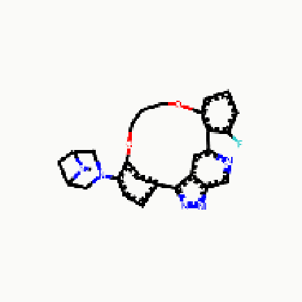 CN1C2CC1CN(c1ccc3cc1OCCCOc1cccc(F)c1-c1cc4c-3n[nH]c4cn1)C2